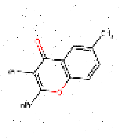 CCCc1oc2ccc(C)cc2c(=O)c1CCC